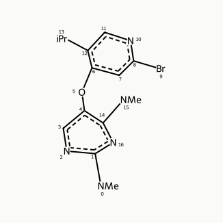 CNc1ncc(Oc2cc(Br)ncc2C(C)C)c(NC)n1